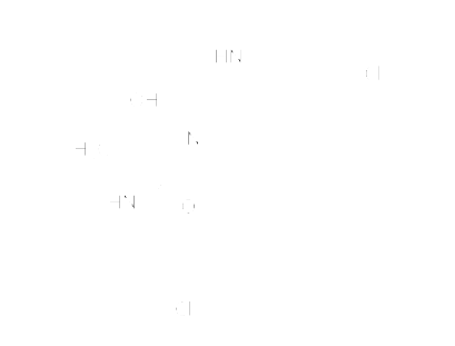 CC(O)C(C(=O)Nc1cccc(Cl)c1)N1CCc2c([nH]c3ccc(Cl)cc23)C1